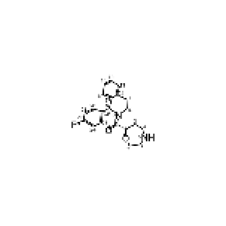 O=C([C@@H]1CCNCCO1)N1CCc2ccccc2[C@@H]1c1ccc(F)cc1